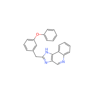 c1ccc(Oc2cccc(Cc3nc4cnc5ccccc5c4[nH]3)c2)cc1